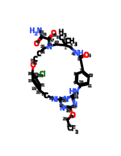 CC1(C)CNC(=O)c2ccc(cc2)Nc2nc(nc(OCC(F)(F)F)n2)NCc2ccc(c(Cl)c2)OCCCN(C(=O)C(N)=O)C1